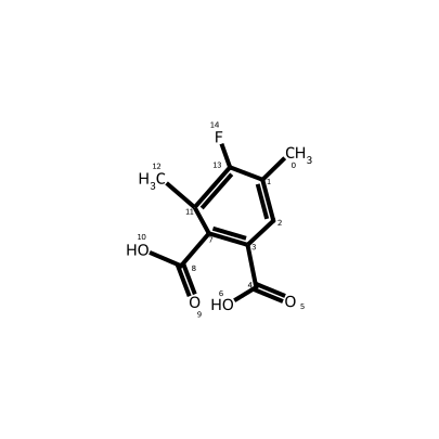 Cc1cc(C(=O)O)c(C(=O)O)c(C)c1F